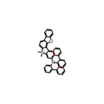 C[Si]1(C)c2cc(N(c3ccccc3-c3ccccc3)c3ccccc3-c3ccccc3)ccc2-c2c1ccc1c2oc2ccccc21